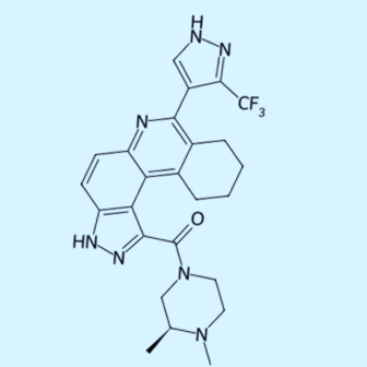 C[C@H]1CN(C(=O)c2n[nH]c3ccc4nc(-c5c[nH]nc5C(F)(F)F)c5c(c4c23)CCCC5)CCN1C